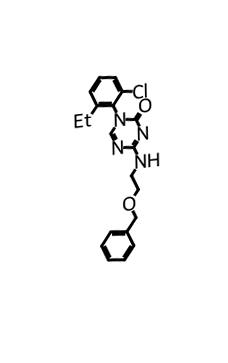 CCc1cccc(Cl)c1-n1cnc(NCCOCc2ccccc2)nc1=O